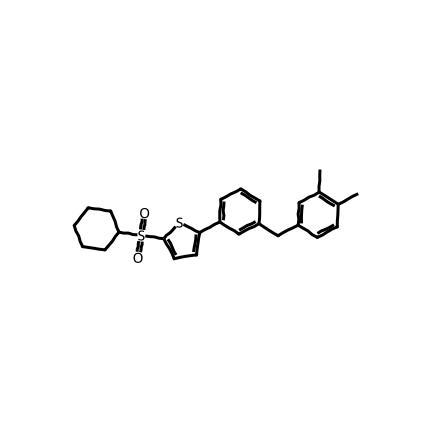 Cc1ccc(Cc2cccc(-c3ccc(S(=O)(=O)C4CCCCC4)s3)c2)cc1C